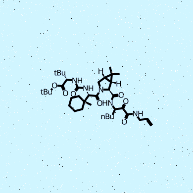 C=CCNC(=O)C(=O)C(CCCC)NC(=O)[C@@H]1[C@@H]2[C@H](CN1C(=O)[C@@H](NC(=O)N[C@H](C(=O)OC(C)(C)C)C(C)(C)C)C1(C)CCCCC1)C2(C)C